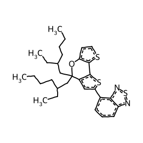 CCCCC(CC)CC1(CC(CC)CCCC)Oc2ccsc2-c2sc(-c3cccc4nsnc34)cc21